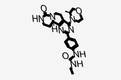 CCNC(=O)Nc1ccc(-c2nc3c(c(N4CCOC[C@@H]4C)n2)CCN2C(=O)NCC[C@H]32)cc1